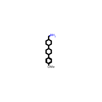 COc1ccc(C2CCC(C3CCC(CN)CC3)CC2)cc1